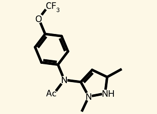 CC(=O)N(C1=CC(C)NN1C)c1ccc(OC(F)(F)F)cc1